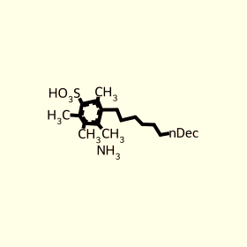 CCCCCCCCCCCCCCCCc1c(C)c(C)c(C)c(S(=O)(=O)O)c1C.N